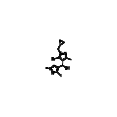 Cc1nn(CC2CC2)c(Br)c1C(O)c1cn(C)nc1I